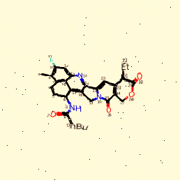 CCCCC(=O)NC1CCc2c(C)c(F)cc3nc4c(c1c23)Cn1c-4cc2c(c1=O)COC(=O)C2CC